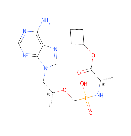 C[C@H](Cn1cnc2c(N)ncnc21)OCP(=O)(O)N[C@@H](C)C(=O)OC1CCC1